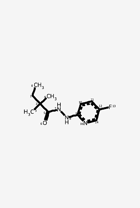 CCC(C)(C)C(=O)NNc1ccc(F)cn1